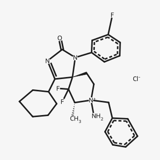 C[C@@H]1C(F)(F)[C@]2(CC[N+]1(N)Cc1ccccc1)C(C1CCCCC1)=NC(=O)N2c1cccc(F)c1.[Cl-]